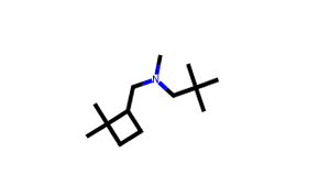 CN(CC1CCC1(C)C)CC(C)(C)C